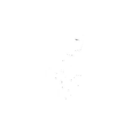 Brc1ccc(-c2ccc(-n3c4c(c5c6ccccc6c6ccccc6c53)C=CCC4)cc2)cc1